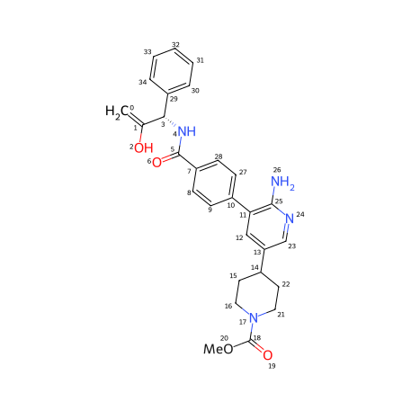 C=C(O)[C@@H](NC(=O)c1ccc(-c2cc(C3CCN(C(=O)OC)CC3)cnc2N)cc1)c1ccccc1